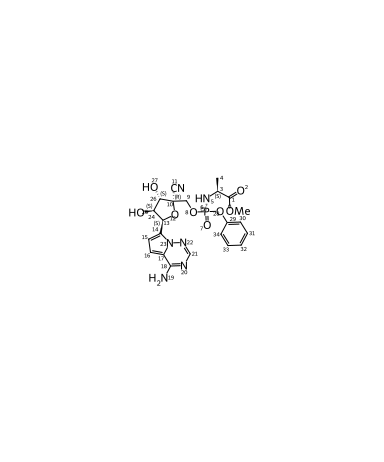 COC(=O)[C@H](C)N[P@](=O)(OC[C@@]1(C#N)O[C@@H](c2ccc3c(N)ncnn23)[C@@H](O)[C@@H]1O)Oc1ccccc1